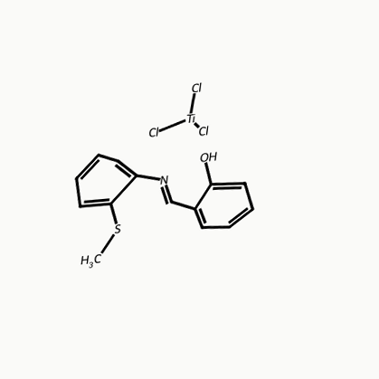 CSc1ccccc1N=Cc1ccccc1O.[Cl][Ti]([Cl])[Cl]